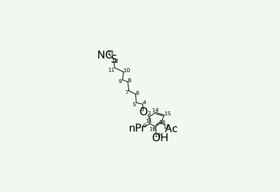 CCCc1c(OCCCCCCCCSC#N)ccc(C(C)=O)c1O